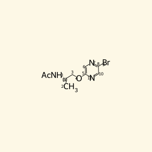 CC(=O)N[C@@H](C)COc1cnc(Br)cn1